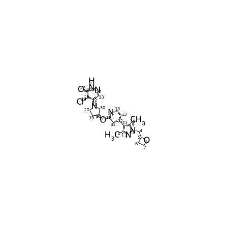 Cc1nn(CC2CCO2)c(C)c1-c1ccnc(O[C@@H]2CCN(c3cn[nH]c(=O)c3Cl)C2)c1